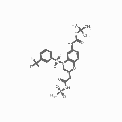 CC(C)(C)OC(=O)Nc1ccc2c(c1)N(S(=O)(=O)c1cccc(C(F)(F)F)c1)C[C@H](CC(=O)NS(C)(=O)=O)O2